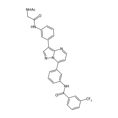 CC(=O)NCC(=O)Nc1cccc(-c2cnn3c(-c4cccc(NC(=O)c5cccc(C(F)(F)F)c5)c4)ccnc23)c1